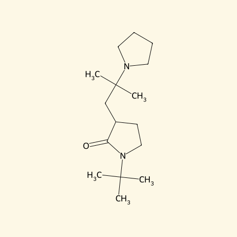 CC(C)(C)N1CCC(CC(C)(C)N2CCCC2)C1=O